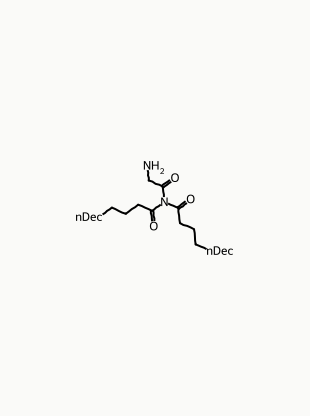 CCCCCCCCCCCCCC(=O)N(C(=O)CN)C(=O)CCCCCCCCCCCCC